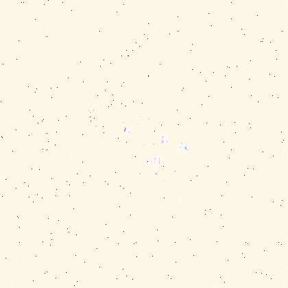 COc1ccc(NC(C)=O)c(N2CCC[C@@]3(CCN([C@H]4CC[C@H](O)CC4)C3=O)C2)n1